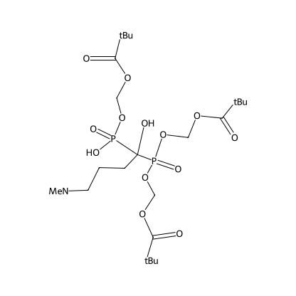 CNCCCC(O)(P(=O)(O)OCOC(=O)C(C)(C)C)P(=O)(OCOC(=O)C(C)(C)C)OCOC(=O)C(C)(C)C